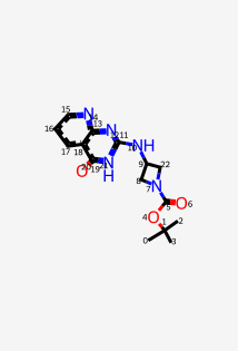 CC(C)(C)OC(=O)N1CC(Nc2nc3ncccc3c(=O)[nH]2)C1